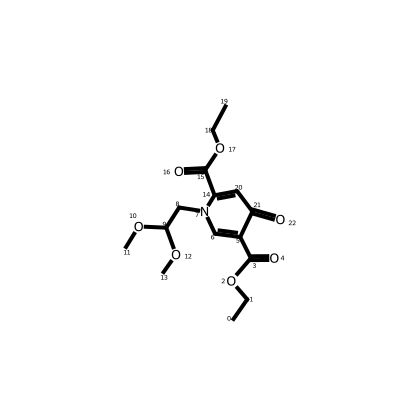 CCOC(=O)c1cn(CC(OC)OC)c(C(=O)OCC)cc1=O